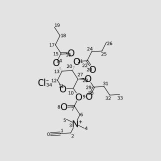 C#CC[N+](C)(C)CC(=O)OC1OC[C@H](OC(=O)CCC)[C@H](OC(=O)CCC)[C@H]1OC(=O)CCC.[Cl-]